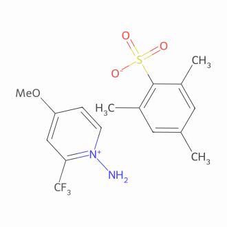 COc1cc[n+](N)c(C(F)(F)F)c1.Cc1cc(C)c(S(=O)(=O)[O-])c(C)c1